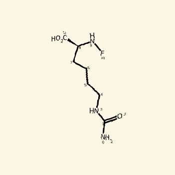 NC(=O)NCCCC[C@H](NF)C(=O)O